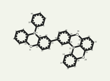 c1ccc(N2c3ccccc3Oc3ccc(-c4ccc5c(c4)B4c6ccccc6Oc6cccc(c64)O5)cc32)cc1